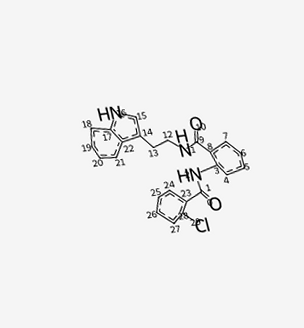 O=C(Nc1ccccc1C(=O)NCCc1c[nH]c2ccccc12)c1ccccc1Cl